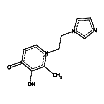 Cc1c(O)c(=O)ccn1CCn1ccnc1